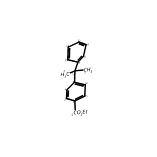 CCOC(=O)c1ccc(C(C)(C)c2ccccc2)cc1